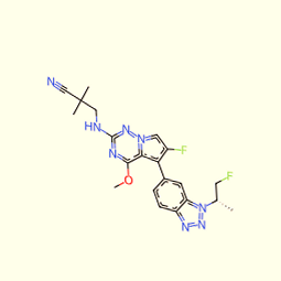 COc1nc(NCC(C)(C)C#N)nn2cc(F)c(-c3ccc4nnn([C@@H](C)CF)c4c3)c12